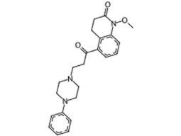 CON1C(=O)CCc2c(C(=O)CCN3CCN(c4ccccc4)CC3)cccc21